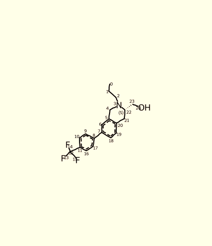 CCCN1Cc2cc(-c3ccc(C(F)(F)F)cc3)ccc2C[C@H]1CO